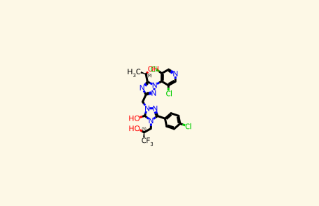 C[C@@H](O)c1nc(CN2N=C(c3ccc(Cl)cc3)N(C[C@H](O)C(F)(F)F)C2O)nn1-c1c(Cl)cncc1Cl